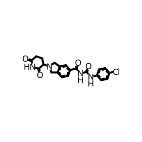 O=C1CCC(N2Cc3ccc(C(=O)NC(=O)Nc4ccc(Cl)cc4)cc3C2)C(=O)N1